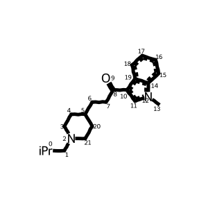 CC(C)CN1CCC(CCC(=O)c2cn(C)c3ccccc23)CC1